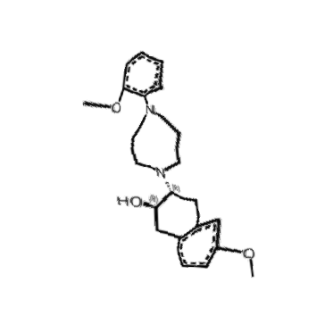 COc1ccc2c(c1)C[C@@H](N1CCN(c3ccccc3OC)CC1)[C@H](O)C2